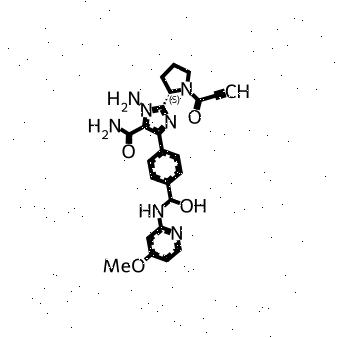 C#CC(=O)N1CCC[C@H]1c1nc(-c2ccc(C(O)Nc3cc(OC)ccn3)cc2)c(C(N)=O)n1N